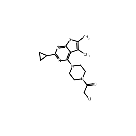 Cc1sc2nc(C3CC3)nc(N3CCN(C(=O)CCl)CC3)c2c1C